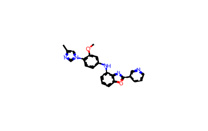 COc1cc(Nc2cccc3oc(-c4cccnc4)nc23)ccc1-n1cnc(C)c1